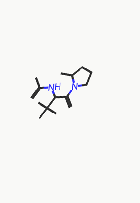 C=C(C)NC(C(=C)N1CCCC1C)C(C)(C)C